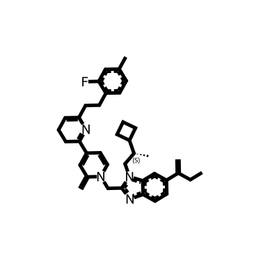 C=C(CC)c1ccc2nc(CN3C=CC(C4=NC(CCc5ccc(C)cc5F)=CCC4)=CC3=C)n(C[C@@H](C)C3CCC3)c2c1